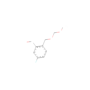 COCOCc1ccc(F)cc1BO